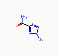 CC(C)(C)n1cnc(C(N)=O)n1